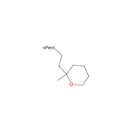 CCCCCCCC1(C)CCCCO1